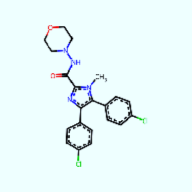 Cn1c(C(=O)NN2CCOCC2)nc(-c2ccc(Cl)cc2)c1-c1ccc(Cl)cc1